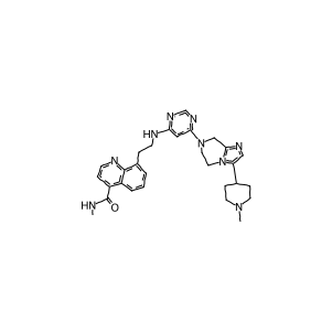 CNC(=O)c1ccnc2c(CCNc3cc(N4CCn5c(C6CCN(C)CC6)cnc5C4)ncn3)cccc12